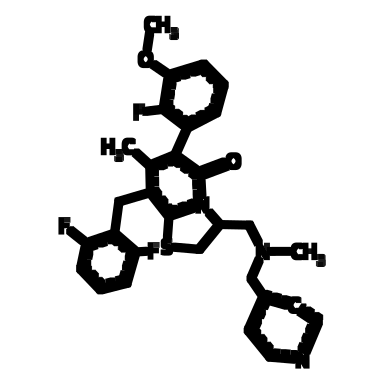 COc1cccc(-c2c(C)c(Cc3c(F)cccc3F)c3n(c2=O)C(CN(C)Cc2ccncc2)CS3)c1F